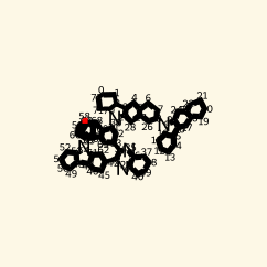 C1=CC2c3cc4ccc(-n5c6ccccc6c6cc7ccccc7cc65)cc4cc3N(c3cc(-c4nc5ccccc5nc4-c4ccc5c6ccccc6n(-c6ccccc6)c5c4)cc4ccccc34)C2C=C1